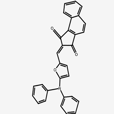 O=C1/C(=C\c2ccc(N(c3ccccc3)c3ccccc3)o2)C(=O)c2c1ccc1ccccc21